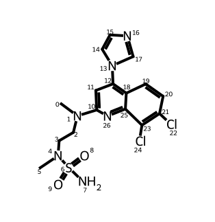 CN(CCN(C)S(N)(=O)=O)c1cc(-n2ccnc2)c2ccc(Cl)c(Cl)c2n1